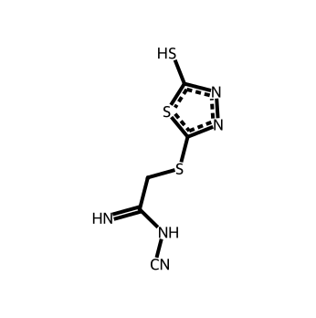 N#CNC(=N)CSc1nnc(S)s1